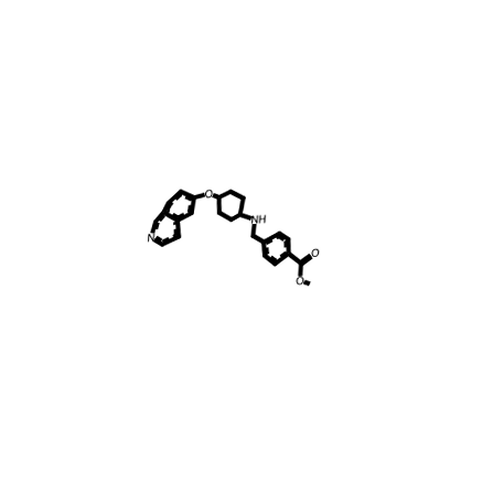 COC(=O)c1ccc(CNC2CCC(Oc3ccc4cnccc4c3)CC2)cc1